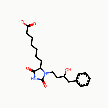 O=C(O)CCCCCCC1C(=O)NC(=O)N1CCC(O)Cc1ccccc1